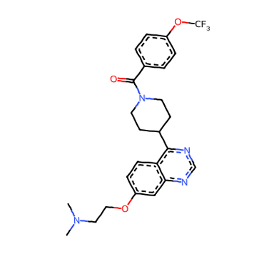 CN(C)CCOc1ccc2c(C3CCN(C(=O)c4ccc(OC(F)(F)F)cc4)CC3)ncnc2c1